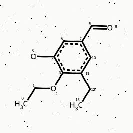 CCOc1c(Cl)cc(C=O)cc1CC